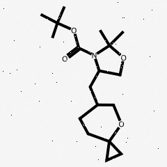 CC(C)(C)OC(=O)N1C(CC2CCC3(CC3)OC2)COC1(C)C